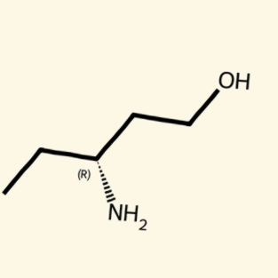 CC[C@@H](N)CCO